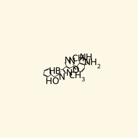 CN(Cc1cccc(N)c1C=N)/N=C\c1c2c(n(C)c1C=O)N=C(C(O)c1ccccc1)B2